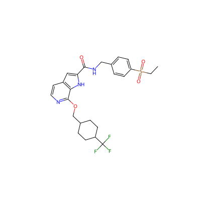 CCS(=O)(=O)c1ccc(CNC(=O)c2cc3ccnc(OCC4CCC(C(F)(F)F)CC4)c3[nH]2)cc1